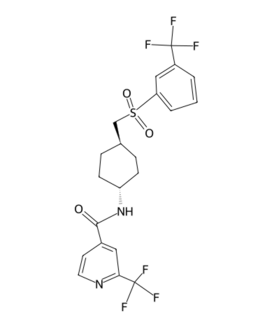 O=C(N[C@H]1CC[C@H](CS(=O)(=O)c2cccc(C(F)(F)F)c2)CC1)c1ccnc(C(F)(F)F)c1